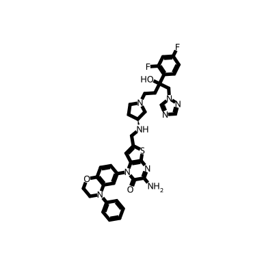 Nc1nc2sc(CN[C@@H]3CCN(CCC(O)(Cn4cncn4)c4ccc(F)cc4F)C3)cc2n(-c2ccc3c(c2)N(c2ccccc2)CCO3)c1=O